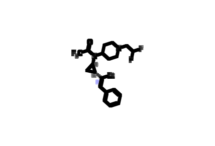 CC/C(=C\c1ccccc1)[C@@H]1C[C@H]1N(C(=O)C(F)(F)F)C1CCN(CC(F)F)CC1